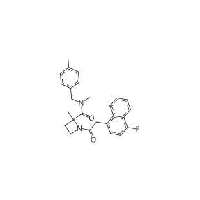 Cc1ccc(CN(C)C(=O)C2(C)CCN2C(=O)Cc2ccc(F)c3ccccc23)cc1